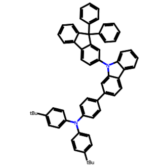 CC(C)(C)c1ccc(N(c2ccc(-c3ccc4c5ccccc5n(-c5ccc6c(c5)C(c5ccccc5)(c5ccccc5)c5ccccc5-6)c4c3)cc2)c2ccc(C(C)(C)C)cc2)cc1